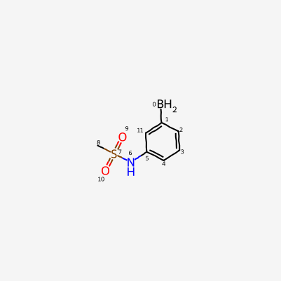 Bc1cccc(NS(C)(=O)=O)c1